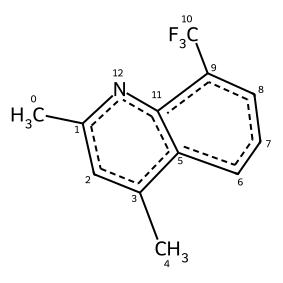 Cc1cc(C)c2cccc(C(F)(F)F)c2n1